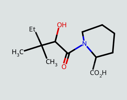 CCC(C)(C)C(O)C(=O)N1CCCCC1C(=O)O